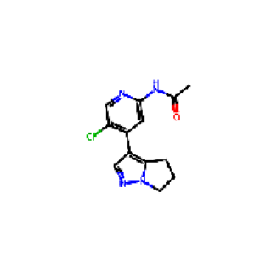 CC(=O)Nc1cc(-c2cnn3c2CCC3)c(Cl)cn1